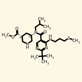 COC(=O)[C@H]1CNC[C@@H](N(CC(C)C)C(=O)c2cnc(C(C)(C)C)nc2NCCCSC)C1